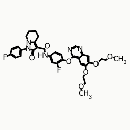 COCCOc1cc2ncnc(Oc3ccc(NC(=O)c4c5n(n(-c6ccc(F)cc6)c4=O)CCCC5)cc3F)c2cc1OCCOC